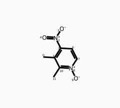 Cc1c([N+](=O)[O-])cc[n+]([O-])c1C